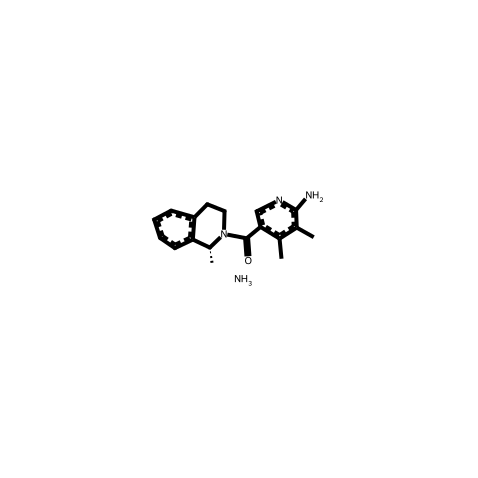 Cc1c(C(=O)N2CCc3ccccc3[C@H]2C)cnc(N)c1C.N